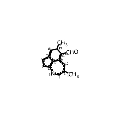 Cc1cnc2ccc3c=2c(c1)=C(C=O)C(C)C=3